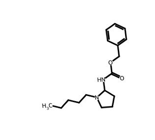 CCCCCN1CCCC1NC(=O)OCc1ccccc1